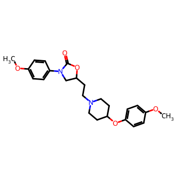 COc1ccc(OC2CCN(CCC3CN(c4ccc(OC)cc4)C(=O)O3)CC2)cc1